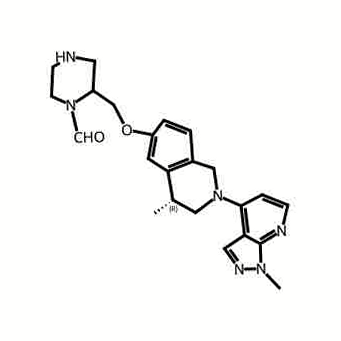 C[C@H]1CN(c2ccnc3c2cnn3C)Cc2ccc(OCC3CNCCN3C=O)cc21